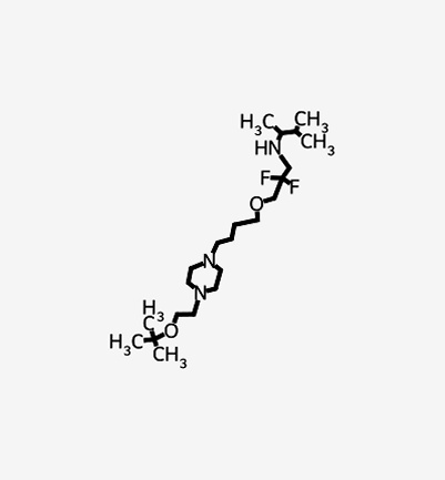 CC(C)C(C)NCC(F)(F)COCCCCN1CCN(CCOC(C)(C)C)CC1